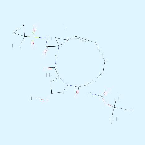 CO[C@@H]1C[C@H]2C(=O)N[C@]3(C(=O)NS(=O)(=O)C4(C)CC4)C[C@H]3/C=C\CCCCC[C@H](NC(=O)OC(C)(C)C)C(=O)N2C1